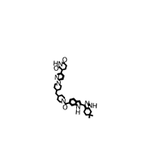 CC1(C)CCc2c(-c3cc4ccc(C(=O)N5CCC(CC6CCN(c7ccc(C8CCC(=O)NC8=O)cn7)CC6)CC5)cc4[nH]3)n[nH]c2C1